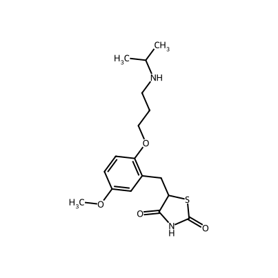 COc1ccc(OCCCNC(C)C)c(CC2SC(=O)NC2=O)c1